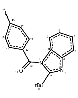 CC(C)(C)c1nc2ccccc2n1C(=O)c1ccc(I)cc1